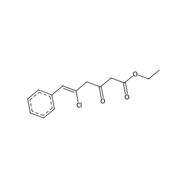 CCOC(=O)CC(=O)CC(Cl)=Cc1ccccc1